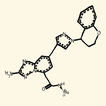 CC[C@H](C)NC(=O)c1cc(-c2cnn(C3CCOc4ccccc43)c2)cc2nc(N)nn12